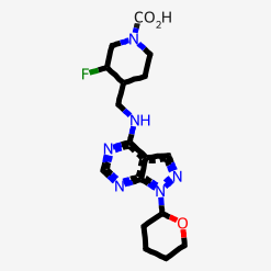 O=C(O)N1CCC(CNc2ncnc3c2cnn3C2CCCCO2)C(F)C1